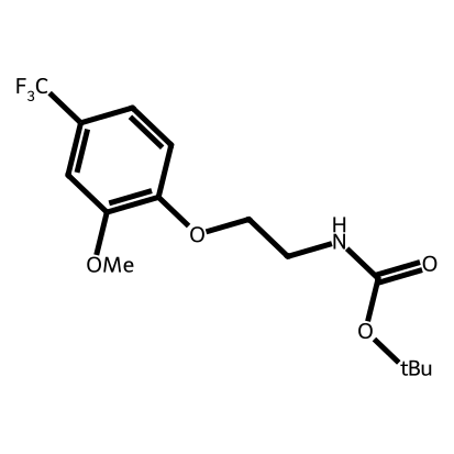 COc1cc(C(F)(F)F)ccc1OCCNC(=O)OC(C)(C)C